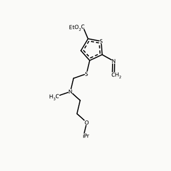 C=Nc1sc(C(=O)OCC)cc1SCN(C)CCOC(C)C